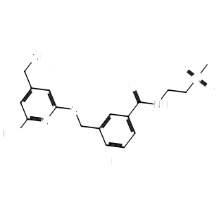 CS(=O)(=O)CCNC(=O)c1cccc(CNc2cc(CN)cc(C(F)(F)F)n2)c1.Cl